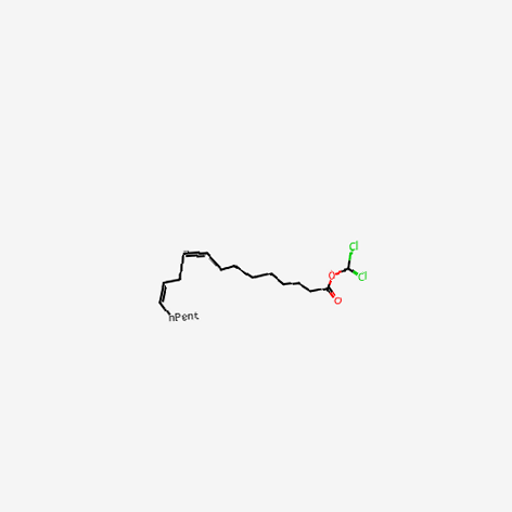 CCCCC/C=C\C/C=C\CCCCCCCC(=O)OC(Cl)Cl